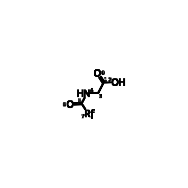 O=C(O)CN[C](=O)[Rf]